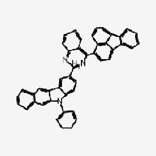 C=C(/N=C1/C=CC=C/C1=C(/N)c1ccc2c3c(cccc13)-c1ccccc1-2)c1ccc2c(c1)c1cc3ccccc3cc1n2C1=CCCC=C1